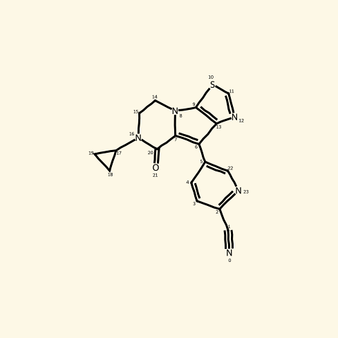 N#Cc1ccc(-c2c3n(c4scnc24)CCN(C2CC2)C3=O)cn1